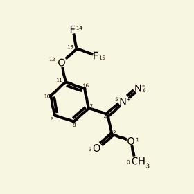 COC(=O)C(=[N+]=[N-])c1cccc(OC(F)F)c1